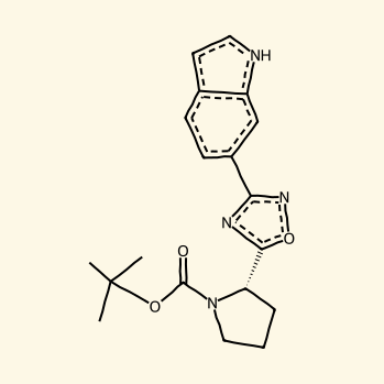 CC(C)(C)OC(=O)N1CCC[C@H]1c1nc(-c2ccc3cc[nH]c3c2)no1